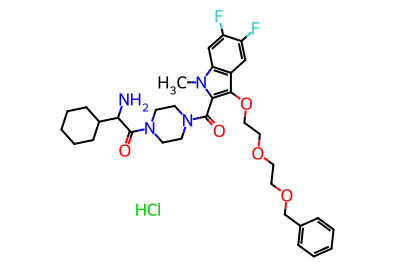 Cl.Cn1c(C(=O)N2CCN(C(=O)C(N)C3CCCCC3)CC2)c(OCCOCCOCc2ccccc2)c2cc(F)c(F)cc21